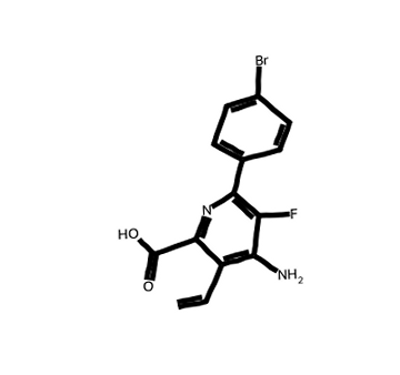 C=Cc1c(C(=O)O)nc(-c2ccc(Br)cc2)c(F)c1N